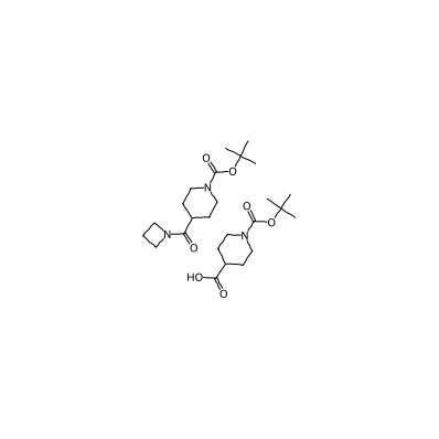 CC(C)(C)OC(=O)N1CCC(C(=O)N2CCC2)CC1.CC(C)(C)OC(=O)N1CCC(C(=O)O)CC1